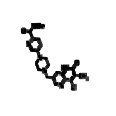 CNC(=O)c1ccc(N2CCN(Cc3cnc4c(Cl)c(C)c(=O)[nH]c4c3)CC2)cn1